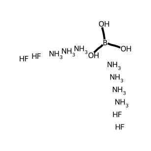 F.F.F.F.N.N.N.N.N.N.N.OB(O)O